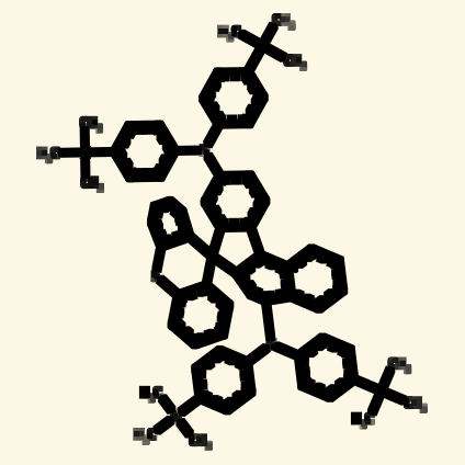 CC(C)(C)c1ccc(N(c2ccc([Si](C)(C)C)cc2)c2ccc3c(c2)C2(c4ccccc4Sc4ccccc42)c2cc(N(c4ccc(C(C)(C)C)cc4)c4ccc([Si](C)(C)C)cc4)c4ccccc4c2-3)cc1